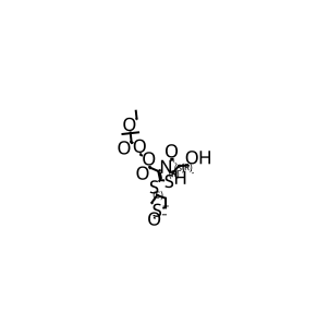 CCOC(C)(C)C(=O)OCOC(=O)C1=C(S[C@H]2CC[S+]([O-])C2)S[C@@H]2[C@@H]([C@@H](C)O)C(=O)N12